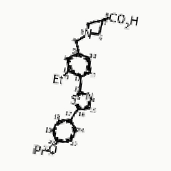 CCc1cc(CN2CC(C(=O)O)C2)ccc1-c1ncc(-c2ccc(OC(C)C)cc2)s1